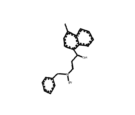 Cc1ccc(C(O)CCN(Cc2ccccc2)C(C)C)c2ccccc12